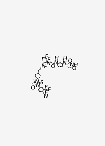 CC1(C)C(=O)N(c2ccc(C#N)c(C(F)(F)F)c2)C(=S)N1[C@H]1CC[C@H](CCCN2CCN(CC(=O)Nc3cccc(NC4CCC(=O)NC4=O)c3)C(C(F)(F)F)C2)CC1